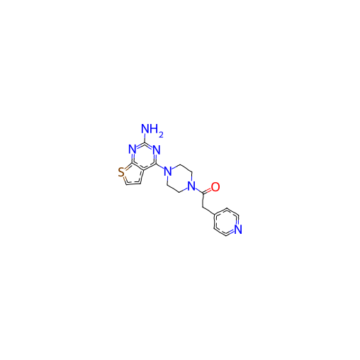 Nc1nc(N2CCN(C(=O)Cc3ccncc3)CC2)c2ccsc2n1